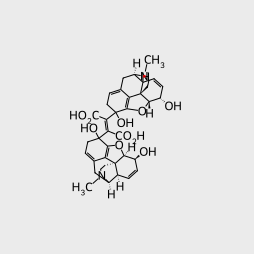 CN1CC[C@]23C4=C5O[C@H]2[C@@H](O)C=C[C@H]3[C@H]1CC4=CCC5(O)/C(C(=O)O)=C(\C(=O)O)C1(O)CC=C2C[C@@H]3[C@@H]4C=C[C@H](O)[C@@H]5OC1=C2[C@]45CCN3C